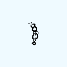 c1c2c(cc3c1nc1n3CCN(C3CCC3)CC1)CNC2